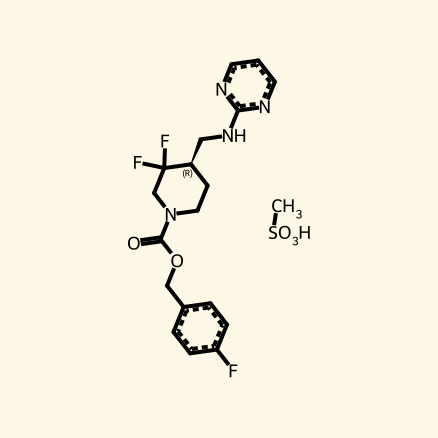 CS(=O)(=O)O.O=C(OCc1ccc(F)cc1)N1CC[C@H](CNc2ncccn2)C(F)(F)C1